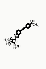 C[C@@H](O)c1ccc(C#Cc2ccc3nn(CCC(C)(C(=O)NO)S(C)(=O)=O)cc3c2)cc1